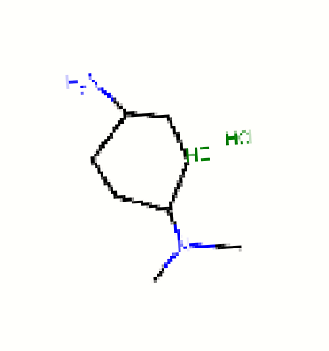 CN(C)C1CCC(N)CC1.Cl.Cl